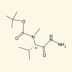 CC(C)[C@@H](C(=O)NN)N(C)C(=O)OC(C)(C)C